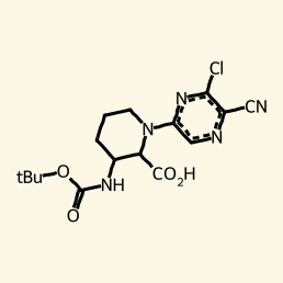 CC(C)(C)OC(=O)NC1CCCN(c2cnc(C#N)c(Cl)n2)C1C(=O)O